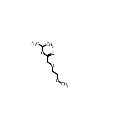 COCCOCC(=O)OC(C)C